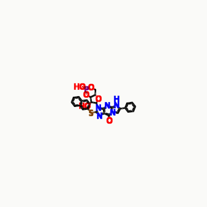 O=c1c2nc(Sc3ccc4ccccc4c3)n(C3OC4COP(O)OC4C3O)c2nc2[nH]c(-c3ccccc3)cn12